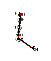 BNC(C=O)CCCCNC(=O)COCCOCCNC(=O)COCCOCCNC(=O)CCC(NC(=O)CCCCCCCCCCCCCCCCCCC(=O)O)C(=O)O